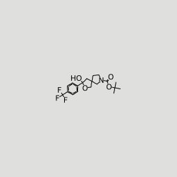 CC(C)(C)OC(=O)N1CCC2(COC(O)(c3ccc(C(F)(F)F)cc3)C2)C1